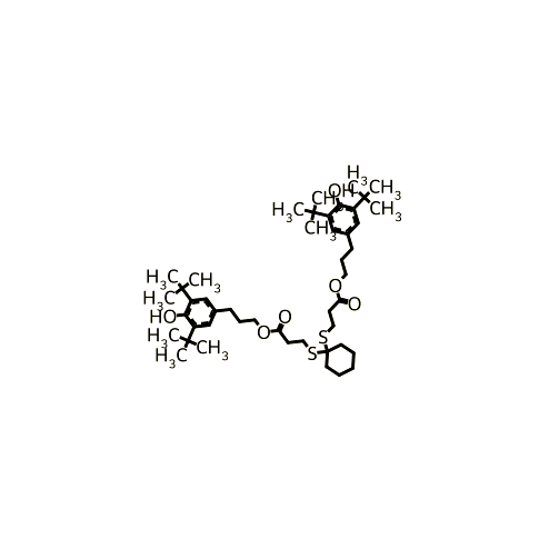 CC(C)(C)c1cc(CCCOC(=O)CCSC2(SCCC(=O)OCCCc3cc(C(C)(C)C)c(O)c(C(C)(C)C)c3)CCCCC2)cc(C(C)(C)C)c1O